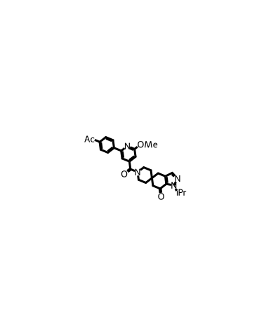 COc1cc(C(=O)N2CCC3(CC2)CC(=O)c2c(cnn2C(C)C)C3)cc(-c2ccc(C(C)=O)cc2)n1